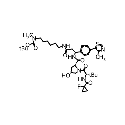 Cc1ncsc1-c1ccc([C@H](CC(=O)NCCCCCCN(C)C(=O)OC(C)(C)C)NC(=O)[C@@H]2C[C@@H](O)CN2C(=O)[C@@H](NC(=O)C2(F)CC2)C(C)(C)C)cc1